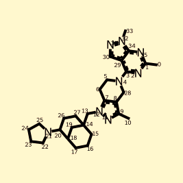 Cc1nc(N2CCc3c(c(C)nn3CC34CCCC(C3)C(N3CCCC3)CC4)C2)c2cnn(C)c2n1